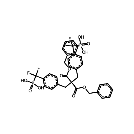 O=C(OCc1ccccc1)C(Cc1ccc(C(F)(F)P(=O)(O)O)cc1)(Cc1ccc(C(F)(F)P(=O)(O)O)cc1)C(=O)OCc1ccccc1